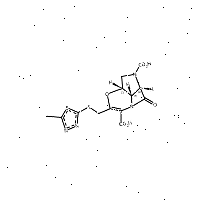 Cc1nnc(SCC2=C(C(=O)O)N3C(=O)[C@@H]4[C@H]3[C@@H](CN4C(=O)O)O2)s1